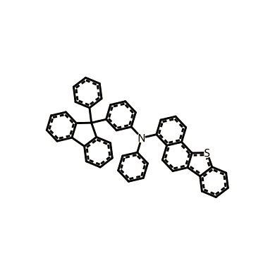 c1ccc(N(c2cccc(C3(c4ccccc4)c4ccccc4-c4ccccc43)c2)c2cccc3c2ccc2c4ccccc4sc32)cc1